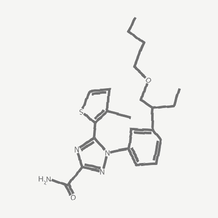 CCCCOCC(CC)c1cccc(-n2nc(C(N)=O)nc2-c2sccc2C)c1